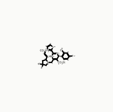 CCOC(=O)C1=C(CN2CC(F)(F)CC2/C=C/C(=O)O)NC(c2nccs2)=N[C@H]1c1ccc(F)cc1Cl